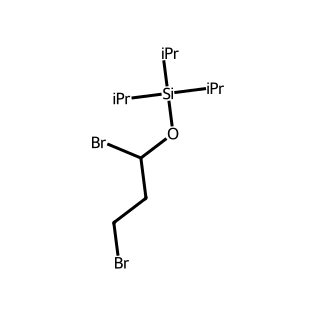 CC(C)[Si](OC(Br)CCBr)(C(C)C)C(C)C